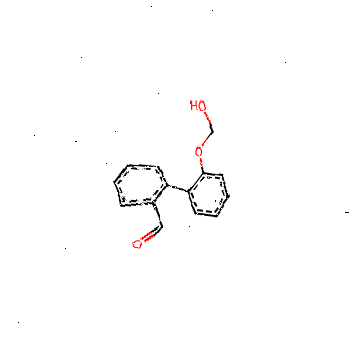 O=Cc1ccccc1-c1ccccc1OCO